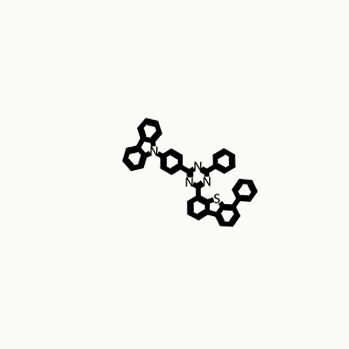 c1ccc(-c2nc(-c3ccc(-n4c5ccccc5c5ccccc54)cc3)nc(-c3cccc4c3sc3c(-c5ccccc5)cccc34)n2)cc1